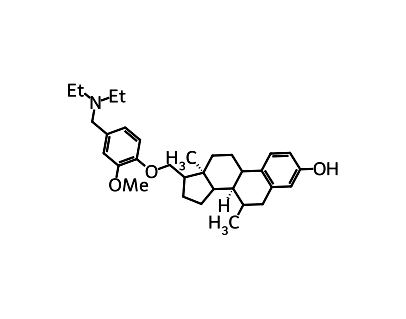 CCN(CC)Cc1ccc(OCC2CCC3[C@@H]4C(C)Cc5cc(O)ccc5C4CC[C@]23C)c(OC)c1